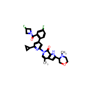 CN1CCOCC1c1cc2c(C(F)(F)F)cn(-c3cc(-c4ccc(F)cc4C(=O)N4CC(F)C4)cc(C4CC4)n3)c(=O)c2[nH]1